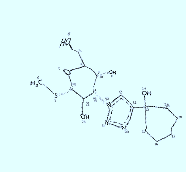 CS[C@@H]1OC(CO)[C@H](O)[C@H](n2cc(C3(O)CCCCC3)nn2)C1O